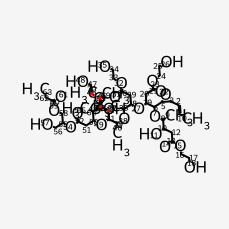 CC=CC1OC1C(OC(C)C(O)CC(=O)OCCO)C(CC(=O)OCCO)OC(CC(=O)OCCO)C(C)OC(C)C(CC(=O)OCCO)OC(CC(=O)OC(CO)COC(=O)CC)C(C)C(O)C(C)C